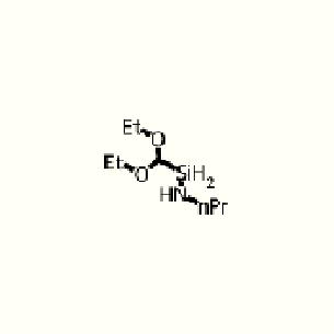 CCCN[SiH2]C(OCC)OCC